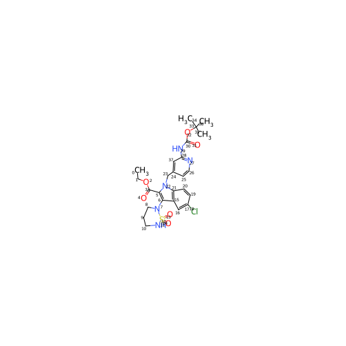 CCOC(=O)c1c(N2CCCNS2(=O)=O)c2cc(Cl)ccc2n1Cc1ccnc(NC(=O)OC(C)(C)C)c1